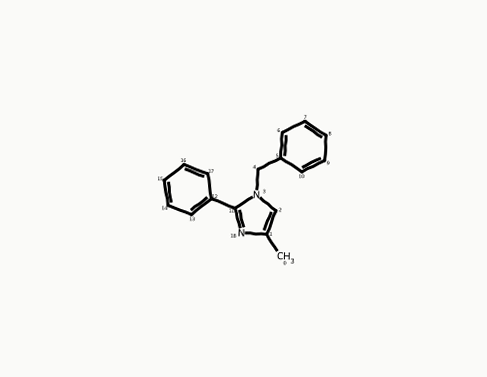 Cc1cn(Cc2ccccc2)c(-c2ccccc2)n1